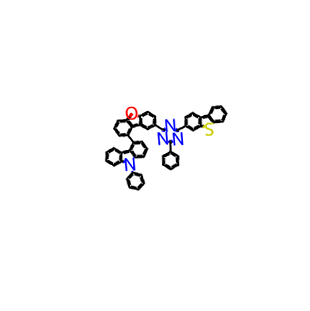 c1ccc(-c2nc(-c3ccc4c(c3)sc3ccccc34)nc(-c3ccc4oc5cccc(-c6cccc7c6c6ccccc6n7-c6ccccc6)c5c4c3)n2)cc1